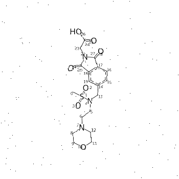 CS(=O)(=O)N(CCN1CCOCC1)Cc1ccc2c(c1)C(=O)N(CC(=O)O)C2=O